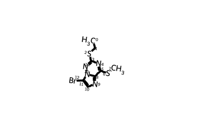 CCSc1nc(SC)c2ncc(Br)n2n1